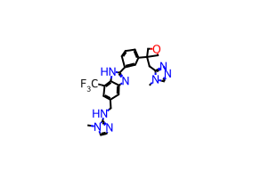 Cn1cnnc1CC1(c2cccc(-c3nc4cc(CNc5nccn5C)cc(C(F)(F)F)c4[nH]3)c2)COC1